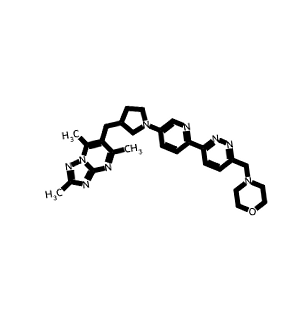 Cc1nc2nc(C)c(CC3CCN(c4ccc(-c5ccc(CN6CCOCC6)nn5)nc4)C3)c(C)n2n1